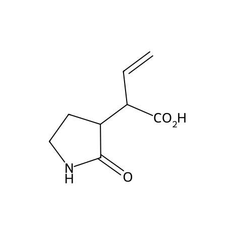 C=CC(C(=O)O)C1CCNC1=O